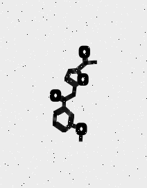 COc1cccc(C(=O)Cc2ccc(C(C)=O)o2)c1